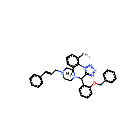 Cc1cccc(C)c1-n1nnnc1C(c1ccccc1OCc1ccccc1)N1CCN(C/C=C/c2ccccc2)CC1